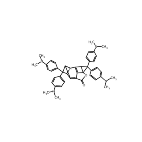 CN(C)c1ccc(C2(c3ccc(N(C)C)cc3)C3C4=C5C(=O)OC67C5=C(C6C7(c5ccc(N(C)C)cc5)c5ccc(N(C)C)cc5)N3C42)cc1